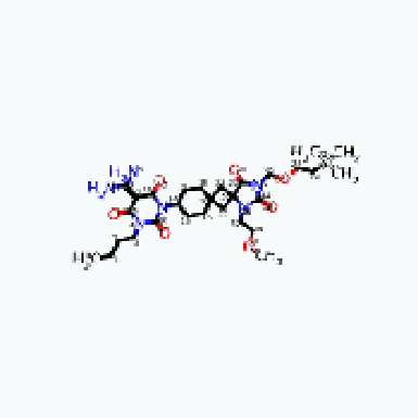 CCCCN1C(=O)C(=C(N)N)C(=O)N(C2CCC3(CC2)CC2(C3)C(=O)N(COCC[Si](C)(C)C)C(=O)N2CCOC)C1=O